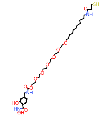 O=C(CCS)NCCCCCCCCCCCOCCOCCOCCOCCOCCOCCOC(=O)NCc1ccc(C(=O)NO)c(O)c1